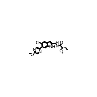 CC[C@H](OC)C(=O)NCc1cc2cc(Cl)c(-c3cnc(OC)cn3)cc2[nH]1